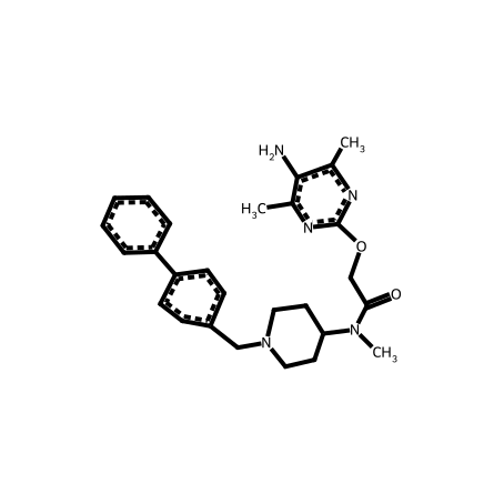 Cc1nc(OCC(=O)N(C)C2CCN(Cc3ccc(-c4ccccc4)cc3)CC2)nc(C)c1N